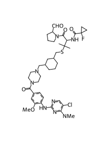 CNc1nc(Nc2ccc(C(=O)N3CCN(CC4CCCC(CSC(C)(C)C(NC(=O)C5(F)CC5)C(=O)N5CCCC5C=O)C4)CC3)cc2OC)ncc1Cl